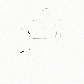 Nc1cncn1C1(P(=O)(O)O)O[C@H](CO)[C@@H](O)[C@H]1O